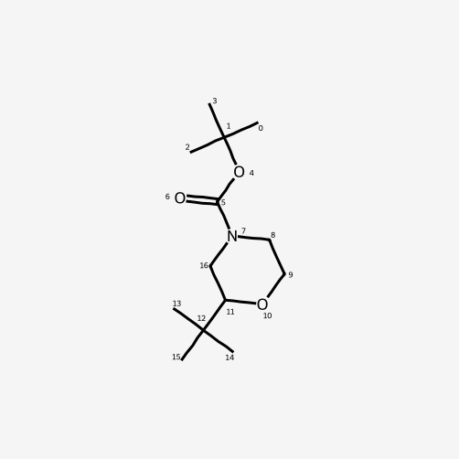 CC(C)(C)OC(=O)N1CCOC(C(C)(C)C)C1